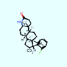 C[C@]12CCC(=O)NC1CC[C@@H]1[C@H]2CC[C@@]2(C)[C@H]1CCC2(C(=O)O)c1ccccc1F